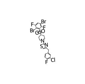 O=S(=O)(c1c(F)c(Br)cc(F)c1Br)C1CCN(c2nc(Cc3ccc(F)c(Cl)c3)cs2)CC1